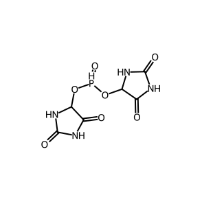 O=C1NC(=O)C(O[PH](=O)OC2NC(=O)NC2=O)N1